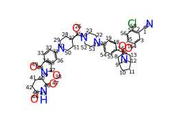 N#Cc1ccc(OC2CC3CCC(C2)N3C(=O)c2ccc(N3CCN(C(=O)C4CCN(c5ccc6c(c5)C(=O)N(C5CCC(=O)NC5=O)C6=O)CC4)CC3)cc2)cc1Cl